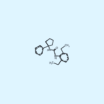 CCc1cccc(CC)c1NC(=O)NC1(c2ccccc2)CCCC1